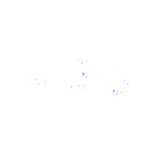 COc1cc(NC(C)=O)ccc1-c1noc(-c2ccc3nonc3c2)n1